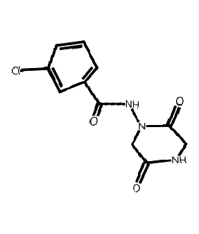 O=C1CN(NC(=O)c2cccc(Cl)c2)C(=O)CN1